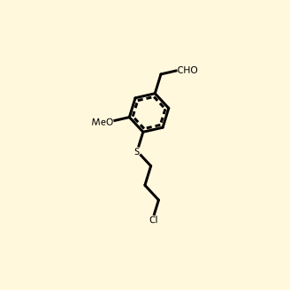 COc1cc(CC=O)ccc1SCCCCl